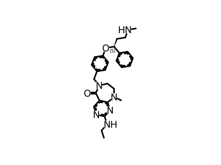 CCNc1ncc2c(n1)N(C)CCN(Cc1ccc(O[C@@H](CCNC)c3ccccc3)cc1)C2=O